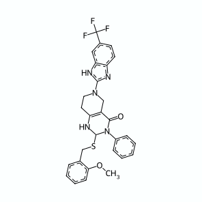 COc1ccccc1CSC1NC2=C(CN(c3nc4ccc(C(F)(F)F)cc4[nH]3)CC2)C(=O)N1c1ccccc1